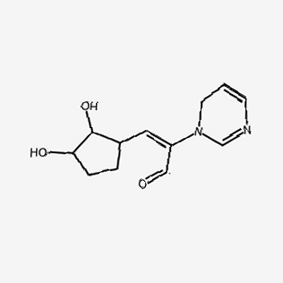 O=[C]C(=CC1CCC(O)C1O)N1C=NC=CC1